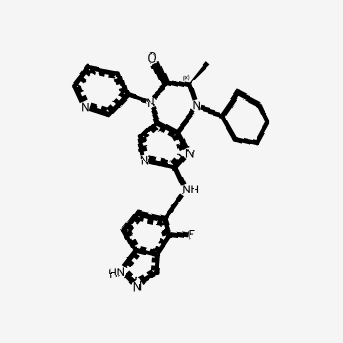 C[C@@H]1C(=O)N(c2cccnc2)c2cnc(Nc3ccc4[nH]ncc4c3F)nc2N1C1CCCCC1